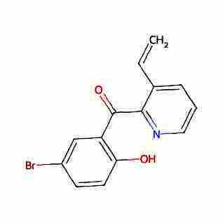 C=Cc1cccnc1C(=O)c1cc(Br)ccc1O